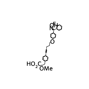 CO[C@@H](Cc1ccc(C#CCCCOc2ccc(C(=NO)c3ccccc3F)cc2)cc1)C(=O)O